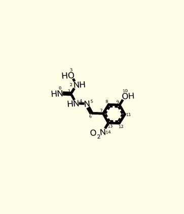 N=C(NO)NN=Cc1cc(O)ccc1[N+](=O)[O-]